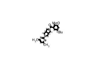 COc1ccc(C(C)(C)C)cc1C(=O)N1CC2CN(c3nc(C)cc(C)n3)CC2C1